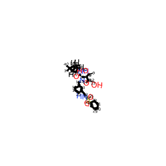 C[C@@H]1[C@@H](NC(=O)[C@@H]2C([C@H](C)O)[C@H](CO)ON2Cc2cccc(CNS(=O)(=O)c3ccccc3)c2)C[C@H]2C[C@@H]1C2(C)C